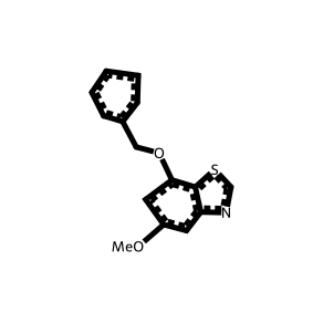 COc1cc(OCc2ccccc2)c2scnc2c1